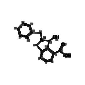 O=C(O)c1cccc2c1C(O)N(Cc1ccccn1)C2